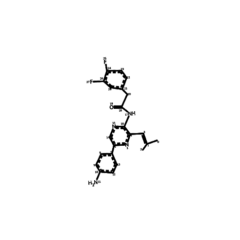 CC(C)=Cc1nc(-c2ccc(N)cc2)cnc1NC(=O)Cc1ccc(F)c(F)c1